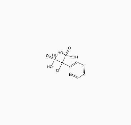 O=P(O)(O)C(Cl)(c1ccccn1)P(=O)(O)O